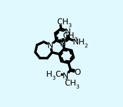 COc1ccc(C(=O)N(C)C)cc1C1CCCCCN1c1cc(C)nc(N)n1